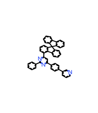 c1ccc(-c2nc(-c3ccc(-c4cccnc4)cc3)cc(-c3cccc4c3-c3ccccc3C43c4ccccc4-c4ccccc43)n2)cc1